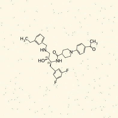 CCc1cccc(CNC[C@H](O)[C@H](Cc2cc(F)cc(F)c2)NC(=O)C2CCN(c3ccc(C(C)=O)cc3)CC2)c1